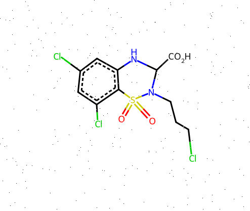 O=C(O)C1Nc2cc(Cl)cc(Cl)c2S(=O)(=O)N1CCCCl